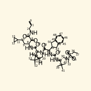 C=CCNC(=O)C(=O)C(CCC1CC1)NC(=O)[C@@H]1[C@@H]2[C@H](CN1C(=O)[C@@H](NC(=O)N[C@H](CN(C)S(=O)(=O)CC)C(C)(C)C)C1Cc3ccccc3C1)C2(C)C